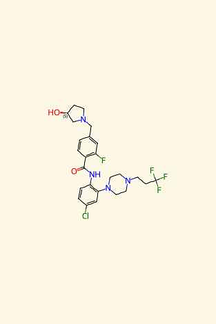 O=C(Nc1ccc(Cl)cc1N1CCN(CCC(F)(F)F)CC1)c1ccc(CN2CC[C@H](O)C2)cc1F